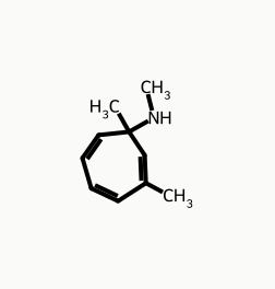 CNC1(C)C=CC=CC(C)=C1